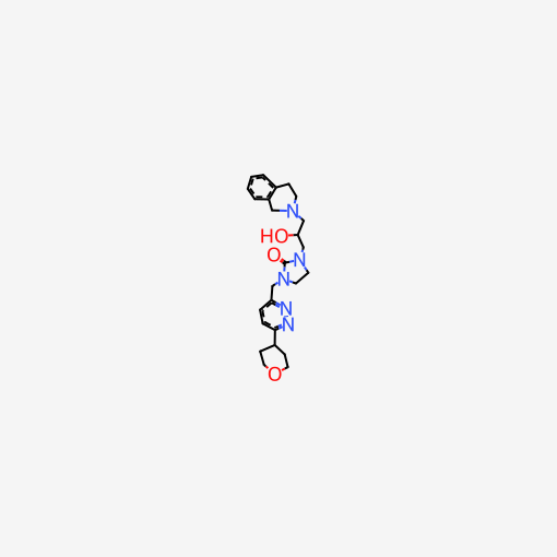 O=C1N(Cc2ccc(C3CCOCC3)nn2)CCN1CC(O)CN1CCc2ccccc2C1